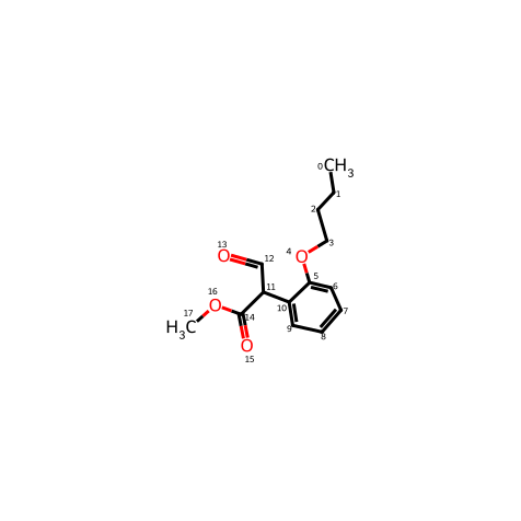 CCCCOc1ccccc1C(C=O)C(=O)OC